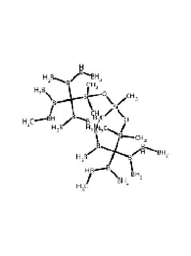 BBB(B)C(B(B)B)(B(B)BC)[Si](C)(C)O[Si](C)(C)O[Si](C)(C)C(B(B)B)(B(B)BB)B(B)BC